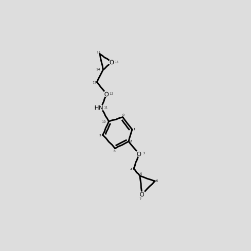 c1cc(OCC2CO2)ccc1NOCC1CO1